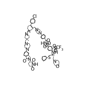 CC1(CN2CCCN(c3ccc4c(c3)CN(C3CCC(=O)NC3=O)C4=O)CC2)CCN(C[C@]2(C)CCC(c3ccc(Cl)cc3)=C(CN3CCN(c4ccc(C(=O)NS(=O)(=O)c5ccc(N[C@H](CCN6CCCOCC6)CSc6ccccc6)c(S(=O)(=O)C(F)(F)F)c5)cc4)CC3)C2)CC1